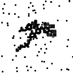 CN(C)Cc1ccc(OS(=O)(=O)Oc2cc(C(=O)N(C)CC(C)(C)COCC(C)(C)CN=[N+]=[N-])ccc2O[C@@H]2O[C@H](C(=O)O)[C@@H](O)[C@H](O)[C@H]2O)cc1